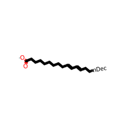 CCCCCCCCCCCCC=CC=CCCCCCCCCC([O])=O